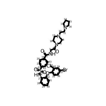 O=C(NCC(=O)N1CCN(CCN2CCCC2)CC1)c1ccc(S(=O)(=O)Nc2ccccc2Oc2ccc(Br)cc2Cl)cc1